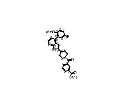 COC(=O)c1cccc(C(=O)N2CC=C(c3cc4c(-c5cc(F)ccc5OC)ccnc4[nH]3)CC2)c1